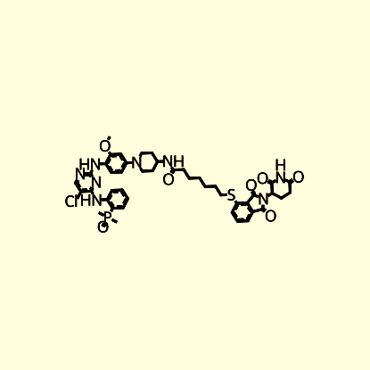 COc1cc(N2CCC(NC(=O)CCCCCCSc3cccc4c3C(=O)N(C3CCC(=O)NC3=O)C4=O)CC2)ccc1Nc1ncc(Cl)c(Nc2ccccc2P(C)(C)=O)n1